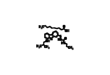 CCCCCCCCCC(=O)O.CCCNC(=O)NSc1cccc2c3cccc(NCC(C)C)c3nc-2c1